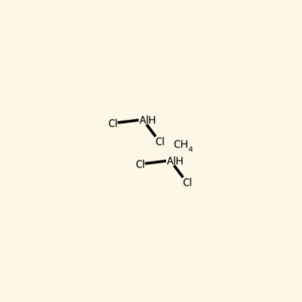 C.[Cl][AlH][Cl].[Cl][AlH][Cl]